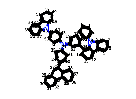 c1ccc(-n2c3ccccc3c3cccc(-c4cccc(N(c5ccc(-c6cc7ccccc7c7ccccc67)cc5)c5ccc(-n6c7ccccc7c7ccccc76)cc5)c4)c32)cc1